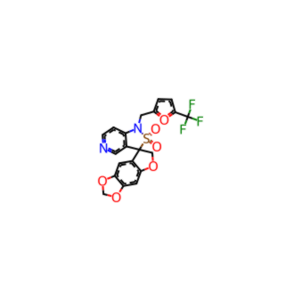 O=S1(=O)N(Cc2ccc(C(F)(F)F)o2)c2ccncc2C12COc1cc3c(cc12)OCO3